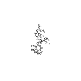 Cc1c(Cc2ccc(OC(C)C)cc2)c(O[C@@H]2OCC(CO)[C@@H](O)[C@H](O)C2O)nn1C(C)C